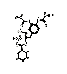 CCC(C)N[C@@](Cc1ccc(OC(=O)OC(C)CC)c(OC(=O)OC(C)CC)c1)(OC(=O)C1CCCCC1)C(=O)O